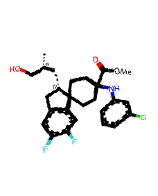 COC(=O)C1(Nc2cccc(Cl)c2)CCC2(CC1)c1cc(F)c(F)cc1C[C@@H]2C[C@@H](C)CO